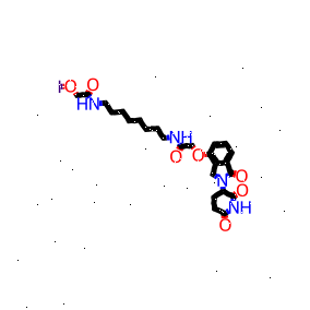 O=C(COI)NCCCCCCCCNC(=O)COc1cccc2c1CN(C1CCC(=O)NC1=O)C2=O